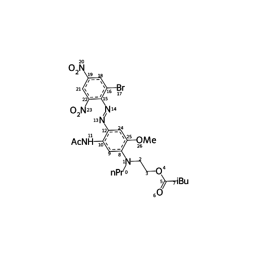 CCCN(CCOC(=O)C(C)CC)c1cc(NC(C)=O)c(/N=N/c2c(Br)cc([N+](=O)[O-])cc2[N+](=O)[O-])cc1OC